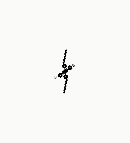 CCCCCCCCCCc1ccc(-n2c(-c3ccc(Br)cc3)cc3c2cc(-c2ccc(Br)cc2)n3-c2ccc(CCCCCCCCCC)cc2)cc1